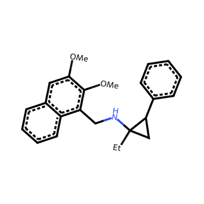 CCC1(NCc2c(OC)c(OC)cc3ccccc23)CC1c1ccccc1